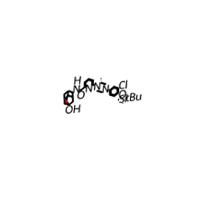 C[C@@H]1CN(c2ccc(O[Si](C)(C)C(C)(C)C)c(Cl)c2)CCN1c1cccc(C(=O)NC2C3CC4CC2CC(O)(C4)C3)n1